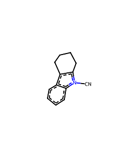 N#Cn1c2c(c3ccccc31)CCCC2